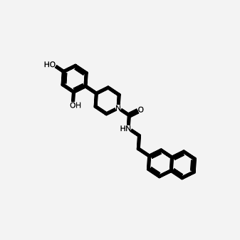 O=C(NCCc1ccc2ccccc2c1)N1CCC(c2ccc(O)cc2O)CC1